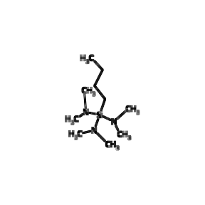 CCCC[Si](N(C)C)(N(C)C)N(C)C